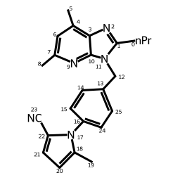 CCCc1nc2c(C)cc(C)nc2n1Cc1ccc(-n2c(C)ccc2C#N)cc1